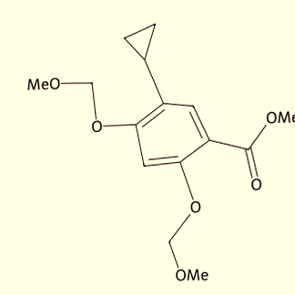 COCOc1cc(OCOC)c(C2CC2)cc1C(=O)OC